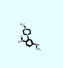 CNc1ccc([N+](=O)[O-])c(N2CCN(C)CC2)c1